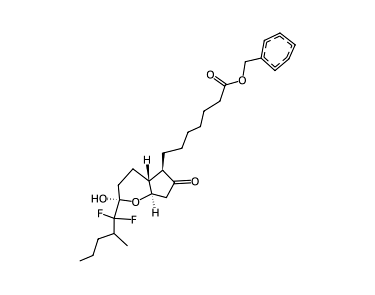 CCCC(C)C(F)(F)[C@@]1(O)CC[C@H]2[C@@H](CC(=O)[C@@H]2CCCCCCC(=O)OCc2ccccc2)O1